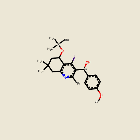 CC(C)Oc1ccc([C@H](O)c2c(C(C)C)nc3c(c2I)C(O[Si](C)(C)C(C)(C)C)CC(C)(C)C3)cc1